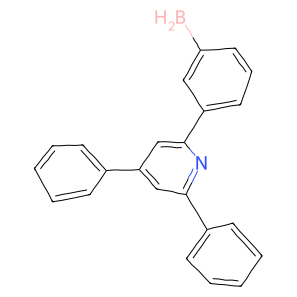 Bc1cccc(-c2cc(-c3ccccc3)cc(-c3ccccc3)n2)c1